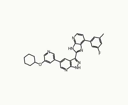 Cc1cc(F)cc(-c2ccnc3[nH]c(-c4n[nH]c5ncc(-c6cncc(OC7CCCCC7)c6)cc45)nc23)c1